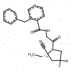 CC[C@@]1(C#N)CC(F)(F)CN1C(=O)CNC(=O)c1ccncc1Cc1ccccc1